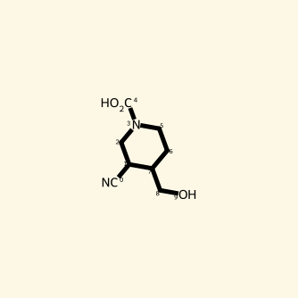 N#CC1CN(C(=O)O)CCC1CO